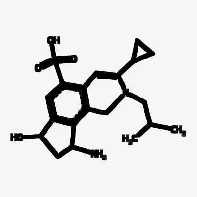 CC(C)CN1Cc2c(c(S(=O)(=O)O)cc3c2C(N)CC3O)C=C1C1CC1